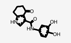 O=C(Nc1ccc(O)c(O)c1)c1c[nH]c2c1C(=O)CCC2